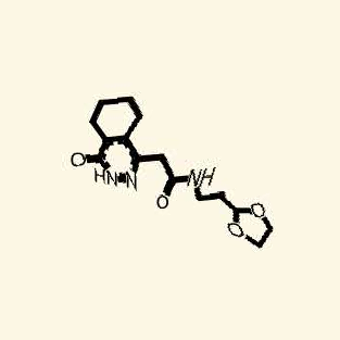 O=C(Cc1n[nH]c(=O)c2c1CCCC2)NCCC1OCCO1